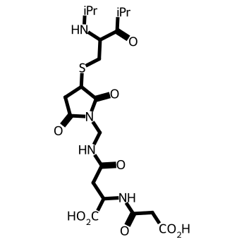 CC(C)NC(CSC1CC(=O)N(CNC(=O)CC(NC(=O)CC(=O)O)C(=O)O)C1=O)C(=O)C(C)C